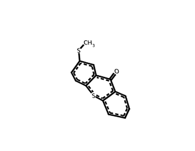 CSc1ccc2sc3ccccc3c(=O)c2c1